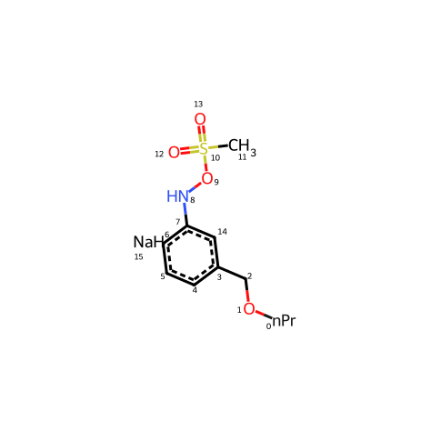 CCCOCc1cccc(NOS(C)(=O)=O)c1.[NaH]